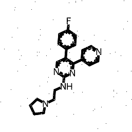 Fc1ccc(-c2cnc(NCCN3CCCC3)nc2-c2ccncc2)cc1